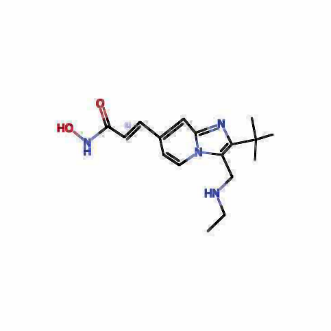 CCNCc1c(C(C)(C)C)nc2cc(/C=C/C(=O)NO)ccn12